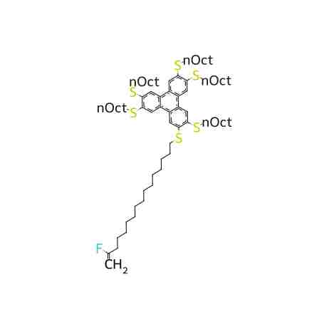 C=C(F)CCCCCCCCCCCCCCSc1cc2c3cc(SCCCCCCCC)c(SCCCCCCCC)cc3c3cc(SCCCCCCCC)c(SCCCCCCCC)cc3c2cc1SCCCCCCCC